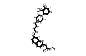 CCCC(=O)Cc1ccc2ccc(OCCCCN3CCN(c4cccc(Cl)c4Cl)CC3)cc2n1